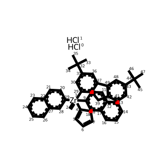 Cl.Cl.[CH2]=[Zr]([C]1=CC=CC1)([c]1ccc2ccccc2c1)([c]1ccc2ccccc2c1)[c]1cc(C(C)(C)C)cc2c1Cc1ccc(C(C)(C)C)cc1-2